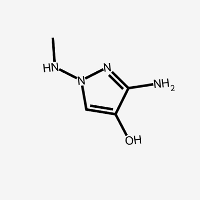 CNn1cc(O)c(N)n1